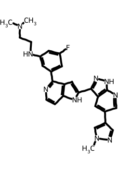 CN(C)CCNc1cc(F)cc(-c2nccc3[nH]c(-c4n[nH]c5ncc(-c6cnn(C)c6)cc45)cc23)c1